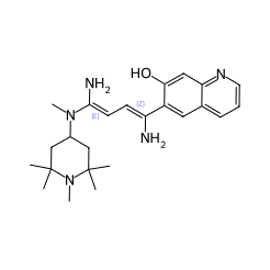 CN(/C(N)=C/C=C(\N)c1cc2cccnc2cc1O)C1CC(C)(C)N(C)C(C)(C)C1